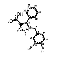 O=C(O)c1nnn(Cc2ccc(F)c(F)c2)c1-c1cccnc1